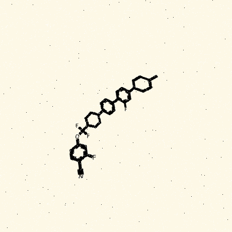 CC1CCC(c2ccc(-c3ccc(C4CCC(C(F)(F)Oc5ccc(C#N)c(F)c5)CC4)cc3)c(F)c2)CC1